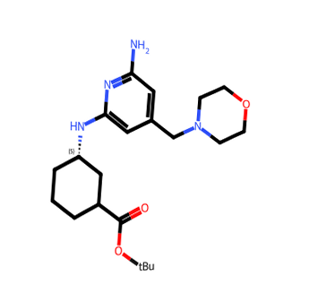 CC(C)(C)OC(=O)C1CCC[C@H](Nc2cc(CN3CCOCC3)cc(N)n2)C1